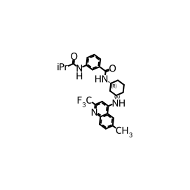 Cc1ccc2nc(C(F)(F)F)cc(N[C@H]3CCC[C@@H](NC(=O)c4cccc(NC(=O)C(C)C)c4)C3)c2c1